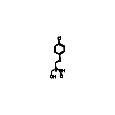 OC[C@H](CSc1ccc(Cl)cc1)NCl